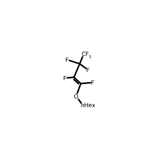 CCCCCCOC(F)=C(F)C(F)(F)C(F)(F)F